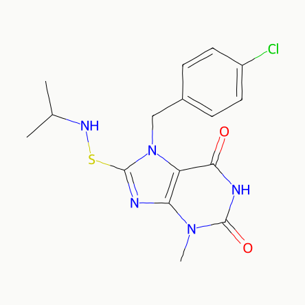 CC(C)NSc1nc2c(c(=O)[nH]c(=O)n2C)n1Cc1ccc(Cl)cc1